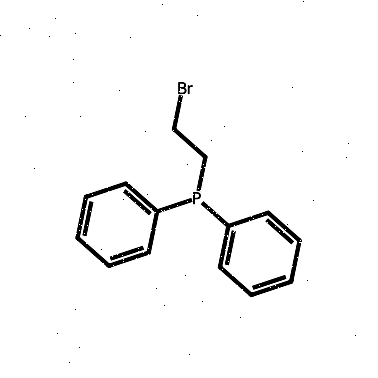 BrCCP(c1ccccc1)c1ccccc1